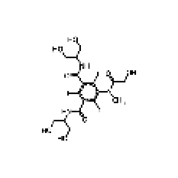 CN(C(=O)CO)c1c(I)c(C(=O)NC(CO)CO)c(I)c(C(=O)NC(CO)CO)c1I